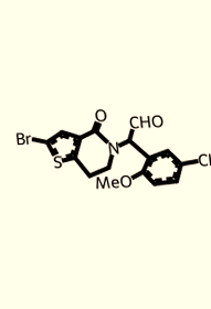 COc1ccc(C)cc1C(C=O)N1CCc2sc(Br)cc2C1=O